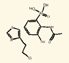 CC(=O)Nc1c(O)cccc1[As](=O)(O)O.ClCCc1cscn1